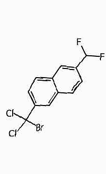 FC(F)c1ccc2cc(C(Cl)(Cl)Br)ccc2c1